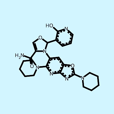 NC(=O)C1=COC(c2cccnc2O)N1c1cc2oc(N3CCCCC3)nc2nc1N1CCCCC1